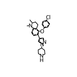 CC1CCc2c(ccc(-c3cnn(C4CCNCC4)c3)c2Oc2ccc(Cl)cc2)N1C